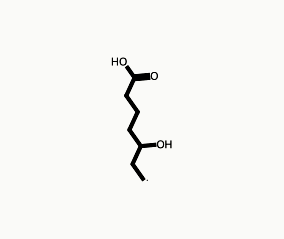 [CH2]CC(O)CCCC(=O)O